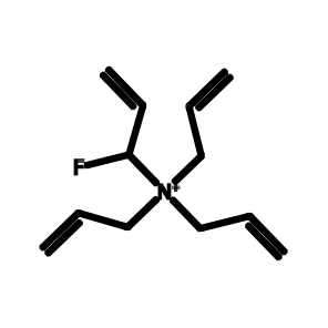 C=CC[N+](CC=C)(CC=C)C(F)C=C